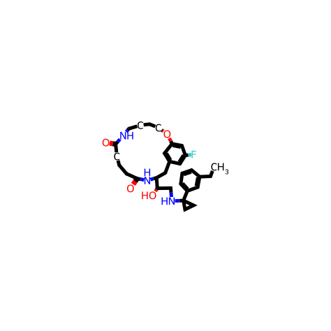 CCc1cccc(C2(NCC(O)C3Cc4cc(F)cc(c4)OCCCCNC(=O)CCCC(=O)N3)CC2)c1